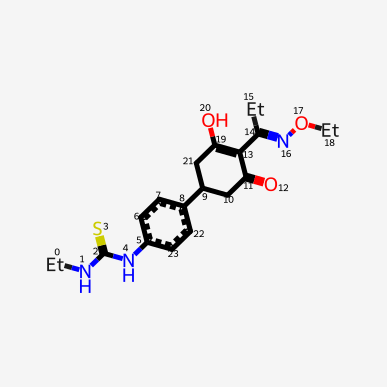 CCNC(=S)Nc1ccc(C2CC(=O)C(C(CC)=NOCC)=C(O)C2)cc1